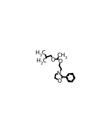 C=C(C)COC(C)OCCN1CCOC1c1ccccc1